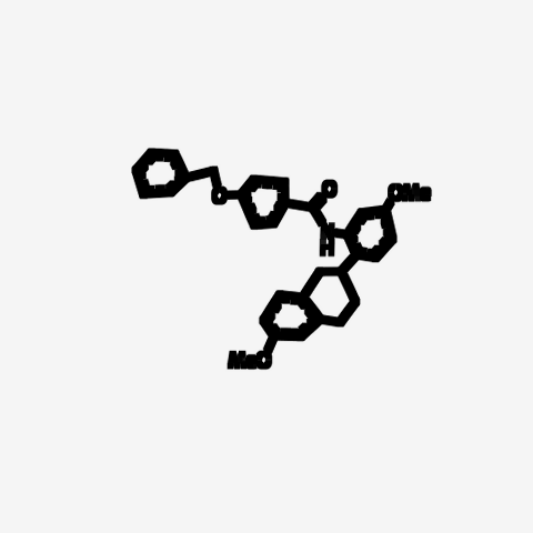 COc1ccc2c(c1)CCC(c1ccc(OC)cc1NC(=O)c1ccc(OCc3ccccc3)cc1)C2